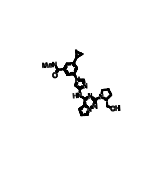 CNC(=O)c1cc(C2CC2)cc(-n2cnc(Nc3nc(N4CCC[C@H]4CO)nn4cccc34)c2)c1